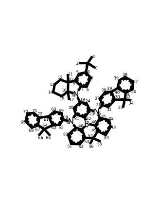 CC(C)(C)c1ccc2c(c1)C1(C)CCCCC1(C)N2c1cc2c3c(c1)N(c1ccc4c(c1)C(C)(C)c1ccccc1-4)c1cccc4c1B3c1c(cccc1C4(C)C)N2c1ccc2c(c1)C(C)(C)c1ccccc1-2